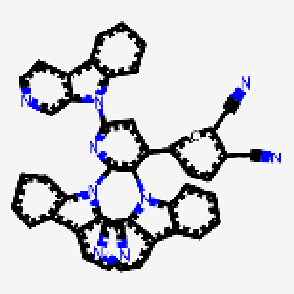 N#Cc1ccc(-c2cc(-n3c4ccccc4c4ccncc43)nc(-n3c4ccccc4c4ccncc43)c2-n2c3ccccc3c3ccncc32)cc1C#N